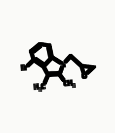 Cc1c(C)n(CC2CO2)c2cccc(Br)c12